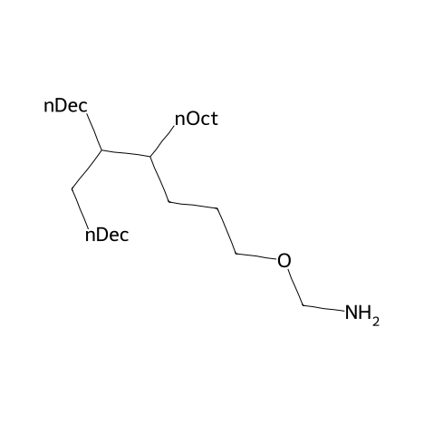 CCCCCCCCCCCC(CCCCCCCCCC)C(CCCCCCCC)CCCOCN